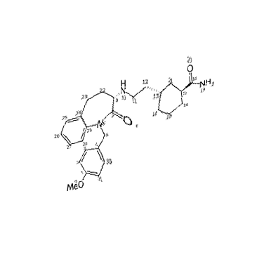 COc1ccc(CN2C(=O)[C@@H](NCC[C@H]3CCC[C@H](C(N)=O)C3)CCc3ccccc32)cc1